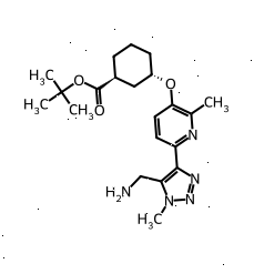 Cc1nc(-c2nnn(C)c2CN)ccc1O[C@H]1CCC[C@H](C(=O)OC(C)(C)C)C1